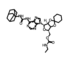 CCNC(=O)OC[C@H]1O[C@@H](n2cnc3c(NC(=O)NC45CC6CC(CC(C6)C4)C5)ncnc32)[C@H]2OC3(CCCCC3)OC12